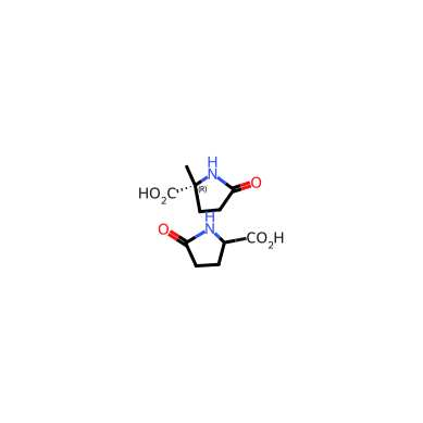 C[C@]1(C(=O)O)CCC(=O)N1.O=C1CCC(C(=O)O)N1